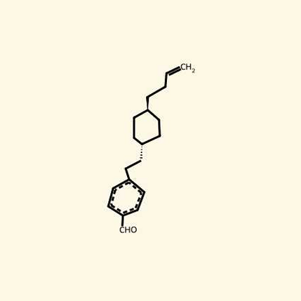 C=CCC[C@H]1CC[C@H](CCc2ccc(C=O)cc2)CC1